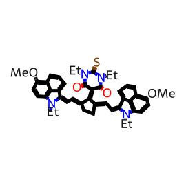 CCN1C(=O)C(=C2/C(=C/C=c3\c4cccc5c(OC)ccc(c54)n3CC)CC/C2=C\C=c2/c3cccc4c(OC)ccc(c43)n2CC)C(=O)N(CC)C1=S